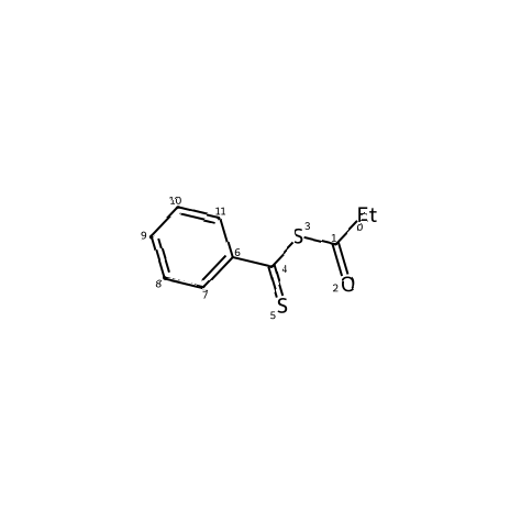 CCC(=O)SC(=S)c1ccccc1